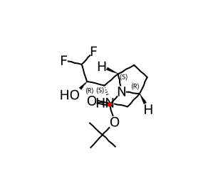 CC(C)(C)OC(=O)N1[C@@H]2CC[C@H]1[C@@H]([C@@H](O)C(F)F)NC2